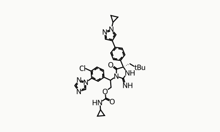 CC(C)(C)C[C@]1(c2ccc(-c3cnn(C4CC4)c3)cc2)NC(=N)N(C(COC(=O)NC2CC2)c2ccc(Cl)c(-n3cncn3)c2)C1=O